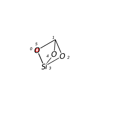 O1C23O[Si]1(O2)O3